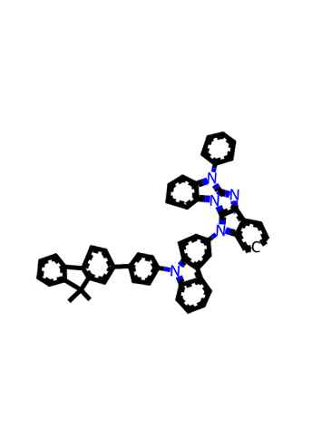 CC1(C)c2ccccc2-c2ccc(-c3ccc(-n4c5ccccc5c5cc(-n6c7ccccc7c7nc8n(-c9ccccc9)c9ccccc9n8c76)ccc54)cc3)cc21